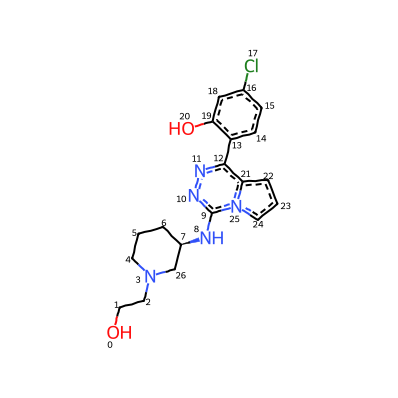 OCCN1CCC[C@@H](Nc2nnc(-c3ccc(Cl)cc3O)c3cccn23)C1